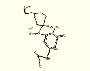 CNN(c1nc(NC(=O)C(C)C)[nH]c(=O)c1N)[C@@]1(O)CO[C@H](CO)[C@H]1F